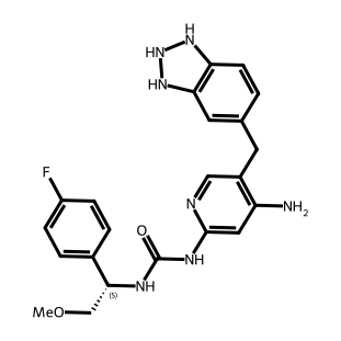 COC[C@@H](NC(=O)Nc1cc(N)c(Cc2ccc3c(c2)NNN3)cn1)c1ccc(F)cc1